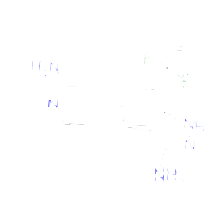 Nc1cc(-c2cc(C(F)(F)F)c3[nH]nc(N)c3c2)ccn1